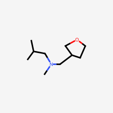 CC(C)CN(C)CC1CCOC1